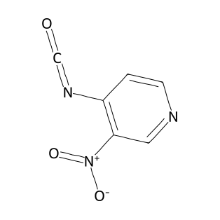 O=C=Nc1ccncc1[N+](=O)[O-]